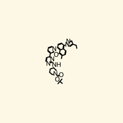 CCc1cnn(-c2cccc3c(Oc4ncccc4-c4ccnc(N[C@H]5CCCN(C(=O)OC(C)(C)C)C5)n4)c(C)ccc23)c1